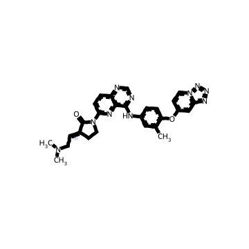 Cc1cc(Nc2ncnc3ccc(N4CC/C(=C\CN(C)C)C4=O)nc23)ccc1Oc1ccn2nnnc2c1